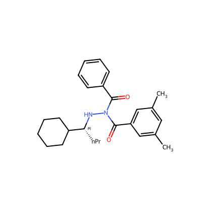 CCC[C@@H](NN(C(=O)c1ccccc1)C(=O)c1cc(C)cc(C)c1)C1CCCCC1